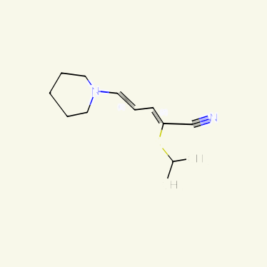 CC(C)S/C(C#N)=C\C=C\N1CCCCC1